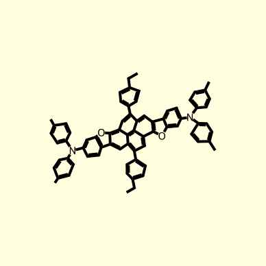 CCc1ccc(-c2cc3c4oc5cc(N(c6ccc(C)cc6)c6ccc(C)cc6)ccc5c4cc4c(-c5ccc(CC)cc5)cc5c6oc7cc(N(c8ccc(C)cc8)c8ccc(C)cc8)ccc7c6cc2c5c43)cc1